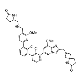 COc1nc(-c2cccc(-c3ccnc(-c4cc(OC)c5nc(CN6CC7(CCC(=O)N7)C6)cn5c4)c3Cl)c2Cl)ccc1CNCC1CCC(=O)N1